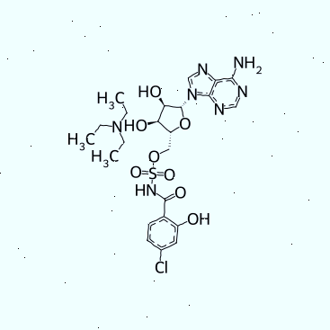 CCN(CC)CC.Nc1ncnc2c1ncn2[C@@H]1O[C@H](COS(=O)(=O)NC(=O)c2ccc(Cl)cc2O)[C@@H](O)[C@H]1O